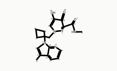 CNC(=O)c1nn(CC2(n3cc(C)c4cccnc43)CCC2)cc(O)c1=O